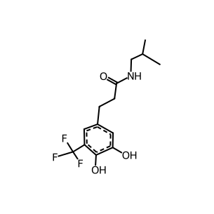 CC(C)CNC(=O)CCc1cc(O)c(O)c(C(F)(F)F)c1